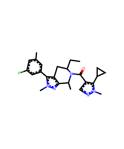 CCC1Cc2c(nn(C)c2-c2cc(C)cc(F)c2)C(C)N1C(=O)c1cnn(C)c1C1CC1